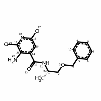 C[C@@H](COCc1ccccc1)NC(=O)c1cc(Cl)nc(Cl)c1N